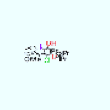 COC(=C1C2CC3CC(C2)CC1C3)c1c(Cl)c(O[Si](C(C)C)(C(C)C)C(C)C)cc(O)c1I